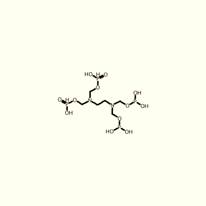 O=[PH](O)OCN(CCN(COP(O)O)COP(O)O)CO[PH](=O)O